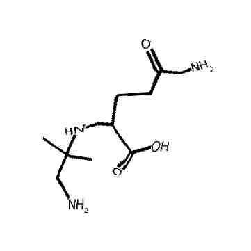 CC(C)(CN)NC(CCC(N)=O)C(=O)O